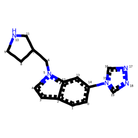 c1cc2ccn(CC3CCNC3)c2cc1-n1cnnc1